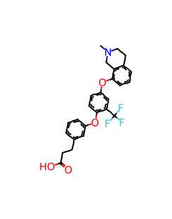 CN1CCc2cccc(Oc3ccc(Oc4cccc(CCC(=O)O)c4)c(C(F)(F)F)c3)c2C1